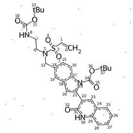 C=CS(=O)(=O)N(CCNC(=O)OC(C)(C)C)Cc1ccc2c(c1)cc(-c1cc3ccccc3[nH]c1=O)n2C(=O)OC(C)(C)C